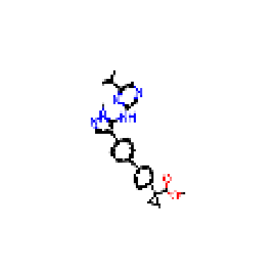 C=C(C)c1cncc(Nc2c(-c3ccc(-c4ccc(C5(C(=O)OC)CC5)cc4)cc3)cnn2C)n1